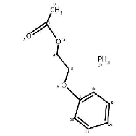 CC(=O)OCCOc1ccccc1.P